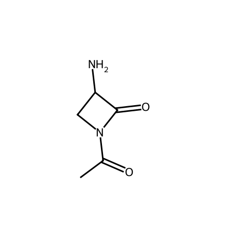 CC(=O)N1CC(N)C1=O